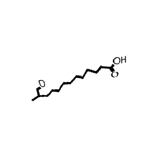 CC(C=O)CC=CCCCCCCCC(=O)O